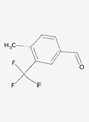 Cc1ccc(C=O)cc1C(F)(F)F